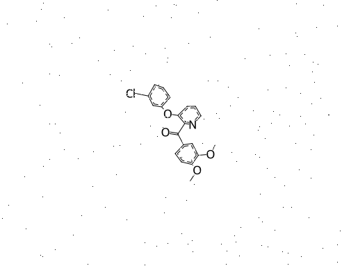 COc1ccc(C(=O)c2ncccc2Oc2cccc(Cl)c2)cc1OC